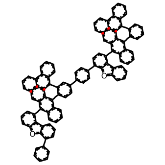 c1ccc(-c2cccc3c2oc2cccc(-c4c5ccccc5c(-c5ccc(-c6ccc(-c7ccc(-c8c9ccccc9c(-c9ccccc9-c9cc%10ccccc%10c%10ccccc9%10)c9ccccc89)c8c7oc7ccccc78)cc6)cc5-c5cc6ccccc6c6ccccc56)c5ccccc45)c23)cc1